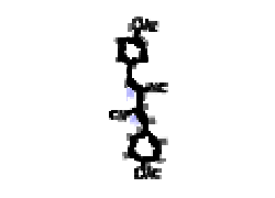 [C-]#[N+]C(=C\c1ccc(OC(C)=O)cc1)/C(=C/c1ccc(OC(C)=O)cc1)[N+]#[C-]